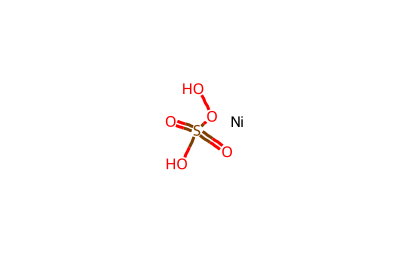 O=S(=O)(O)OO.[Ni]